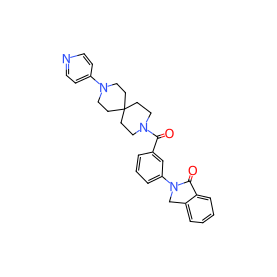 O=C(c1cccc(N2Cc3ccccc3C2=O)c1)N1CCC2(CC1)CCN(c1ccncc1)CC2